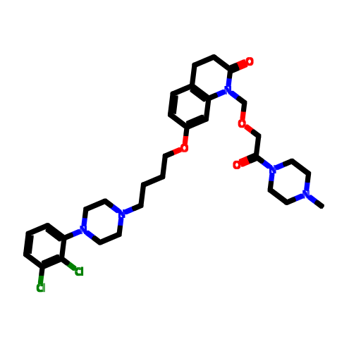 CN1CCN(C(=O)COCN2C(=O)CCc3ccc(OCCCCN4CCN(c5cccc(Cl)c5Cl)CC4)cc32)CC1